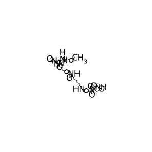 Cc1cccc(/C=N/Nc2cc(N3CCOCC3)nc(OCCc3ccc(NC(=O)CCCCCCCNc4ccc5c(c4)C(=O)N(C4CCC(=O)NC4=O)C5=O)cc3)n2)c1